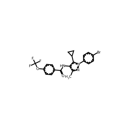 Cc1nn(-c2ccc(Br)cc2)c(C2CC2)c1NC(=O)c1ccc(OC(F)(F)F)cc1